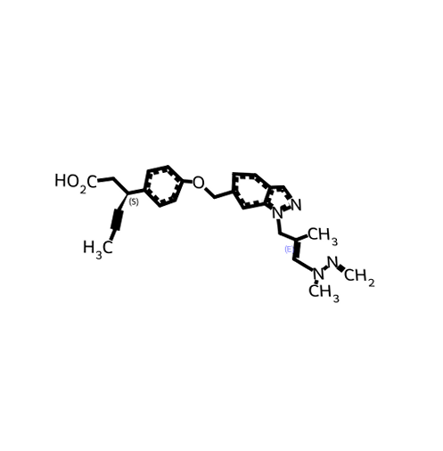 C=NN(C)/C=C(\C)Cn1ncc2ccc(COc3ccc([C@@H](C#CC)CC(=O)O)cc3)cc21